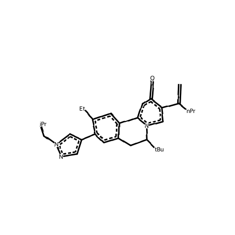 C=C(CCC)c1cn2c(cc1=O)-c1cc(CC)c(-c3cnn(CC(C)C)c3)cc1CC2C(C)(C)C